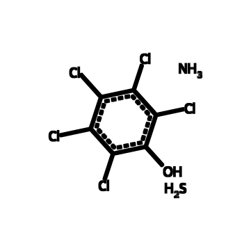 N.Oc1c(Cl)c(Cl)c(Cl)c(Cl)c1Cl.S